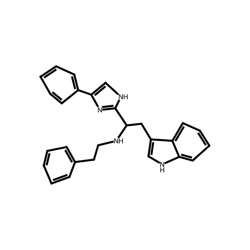 c1ccc(CCNC(Cc2c[nH]c3ccccc23)c2nc(-c3ccccc3)c[nH]2)cc1